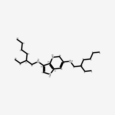 CCCCC(CC)COC1=Cc2scc(OCC(CC)CCCC)c2SC1